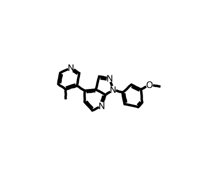 COc1cccc(-n2ncc3c(-c4cnccc4C)ccnc32)c1